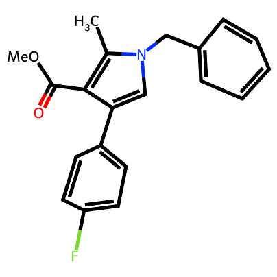 COC(=O)c1c(-c2ccc(F)cc2)cn(Cc2ccccc2)c1C